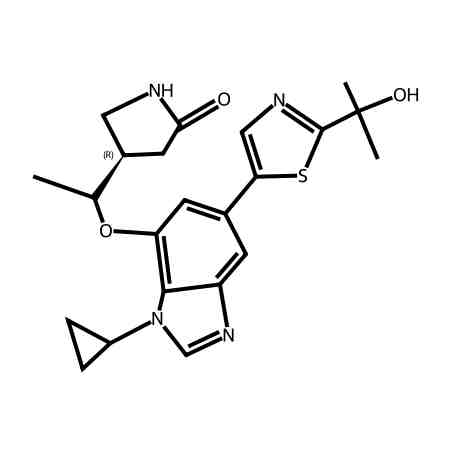 CC(Oc1cc(-c2cnc(C(C)(C)O)s2)cc2ncn(C3CC3)c12)[C@H]1CNC(=O)C1